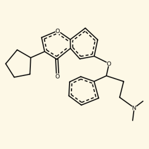 CN(C)CCC(Oc1ccc2occ(C3CCCC3)c(=O)c2c1)c1ccccc1